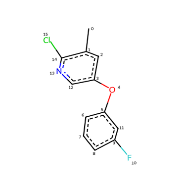 Cc1cc(Oc2cccc(F)c2)cnc1Cl